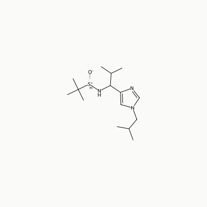 CC(C)Cn1cnc(C(N[S@@+]([O-])C(C)(C)C)C(C)C)c1